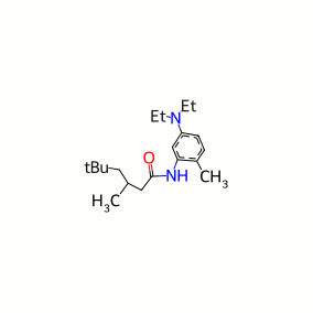 CCN(CC)c1ccc(C)c(NC(=O)CC(C)CC(C)(C)C)c1